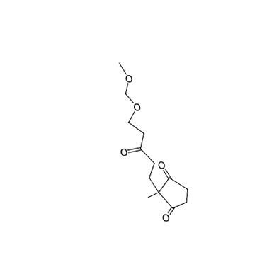 COCOCCC(=O)CCC1(C)C(=O)CCC1=O